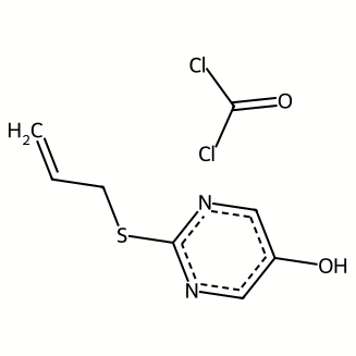 C=CCSc1ncc(O)cn1.O=C(Cl)Cl